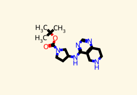 CC(C)(C)OC(=O)N1CCC(Nc2ncnc3c2CNCC3)C1